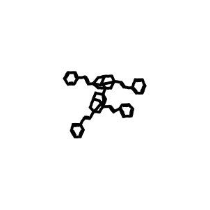 C(=CC12CC3CC(C=Cc4ccccc4)(C1)CC(C14CC5CC(C=Cc6ccccc6)(CC(C=Cc6ccccc6)(C5)C1)C4)(C3)C2)c1ccccc1